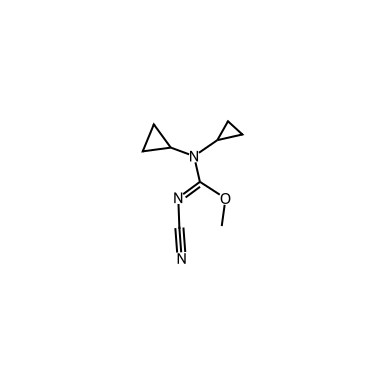 COC(=NC#N)N(C1CC1)C1CC1